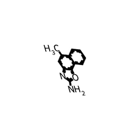 Cc1cc2nc(N)oc2c2ccccc12